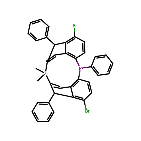 [CH3][Zr]1([CH3])[C]2=Cc3c(ccc(Br)c3C2c2ccccc2)P(c2ccccc2)c2ccc(Br)c3c2C=[C]1C3c1ccccc1